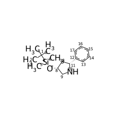 CC(C)(C)[Si](C)(C)O[C@H]1CN[C@@H](c2ccccc2)C1